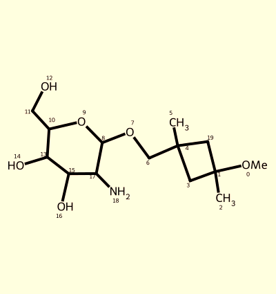 COC1(C)CC(C)(COC2OC(CO)C(O)C(O)C2N)C1